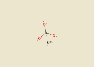 [Bi+3].[O-]B([O-])[O-]